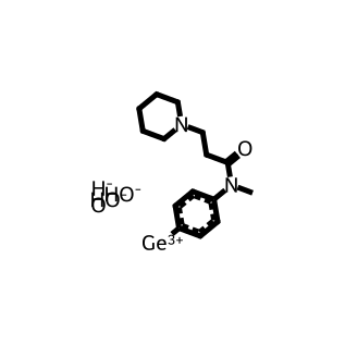 CN(C(=O)CCN1CCCCC1)c1cc[c]([Ge+3])cc1.[OH-].[OH-].[OH-]